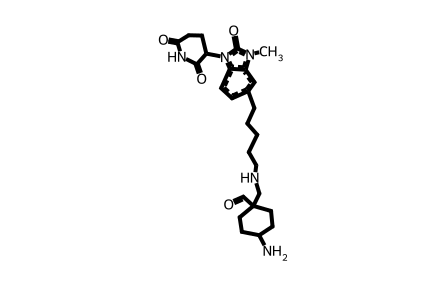 Cn1c(=O)n(C2CCC(=O)NC2=O)c2ccc(CCCCCNCC3(C=O)CCC(N)CC3)cc21